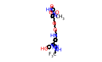 Cn1c(=O)n([C@H]2CCC(=O)NC2=O)c2cccc(CCCOCCCOCCCNCc3ccc(-c4cn([C@H]5CC[C@H](O)CC5)c5nc(NCCC(F)(F)F)ncc45)cc3)c21